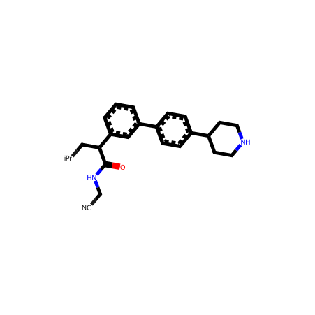 CC(C)CC(C(=O)NCC#N)c1cccc(-c2ccc(C3CCNCC3)cc2)c1